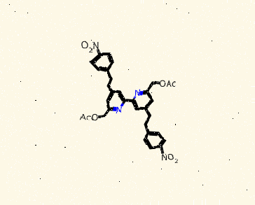 CC(=O)OCc1cc(CCc2ccc([N+](=O)[O-])cc2)cc(-c2cc(CCc3ccc([N+](=O)[O-])cc3)cc(COC(C)=O)n2)n1